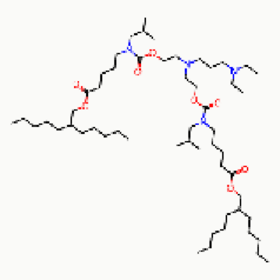 CCCCCC(CCCCC)COC(=O)CCCCN(CC(C)C)C(=O)OCCN(CCCN(CC)CC)CCOC(=O)N(CCCCC(=O)OCC(CCCCC)CCCCC)CC(C)C